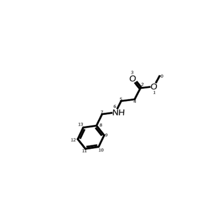 COC(=O)CCNCc1ccccc1